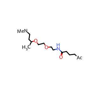 CNCCC(C)OCCOCCNC(=O)CCCC(C)=O